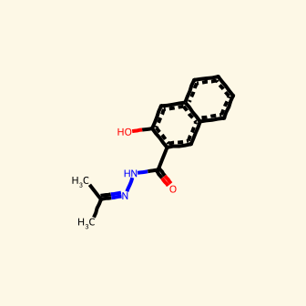 CC(C)=NNC(=O)c1cc2ccccc2cc1O